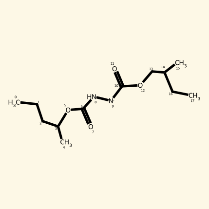 CCCC(C)OC(=O)N[N]C(=O)OCC(C)CC